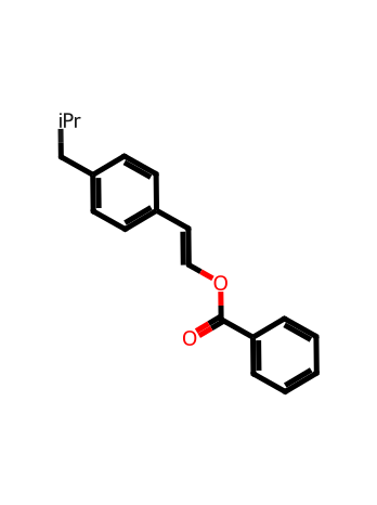 CC(C)Cc1ccc(C=COC(=O)c2ccccc2)cc1